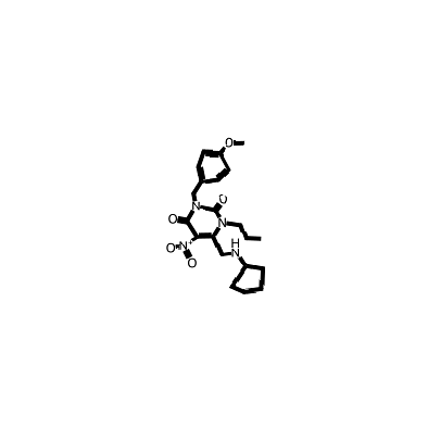 CCCn1c(CNC2CCCC2)c([N+](=O)[O-])c(=O)n(Cc2ccc(OC)cc2)c1=O